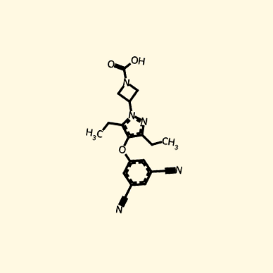 CCc1nn(C2CN(C(=O)O)C2)c(CC)c1Oc1cc(C#N)cc(C#N)c1